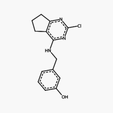 Oc1cccc(CNc2nc(Cl)nc3c2CCC3)c1